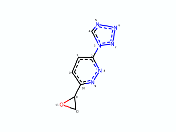 c1cc(-n2cnnn2)nnc1C1CO1